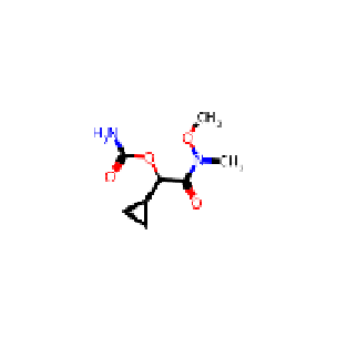 CON(C)C(=O)[C@H](OC(N)=O)C1CC1